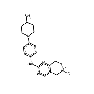 CC1CCN(c2ccc(Nc3ncc4c(n3)CC[NH+]([O-])C4)cc2)CC1